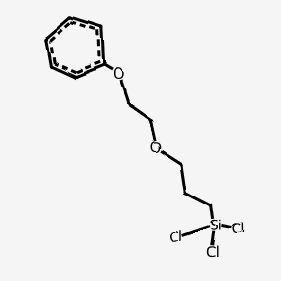 Cl[Si](Cl)(Cl)CCCOCCOc1ccccc1